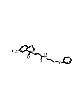 Cc1ccc2ncn(/C=C/C(=O)NCCCCOc3cccnc3)c(=O)c2c1